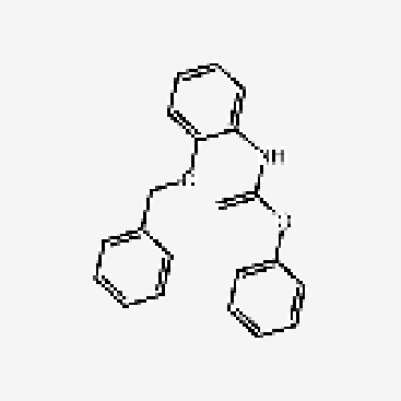 C=C(Nc1ccccc1OCc1ccccc1)Oc1ccccc1